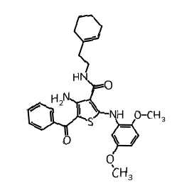 COc1ccc(OC)c(Nc2sc(C(=O)c3ccccc3)c(N)c2C(=O)NCCC2=CCCCC2)c1